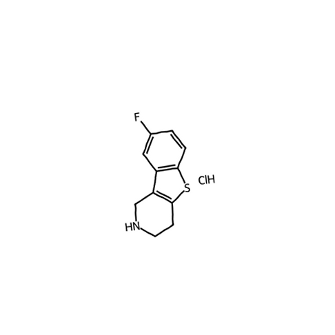 Cl.Fc1ccc2sc3c(c2c1)CNCC3